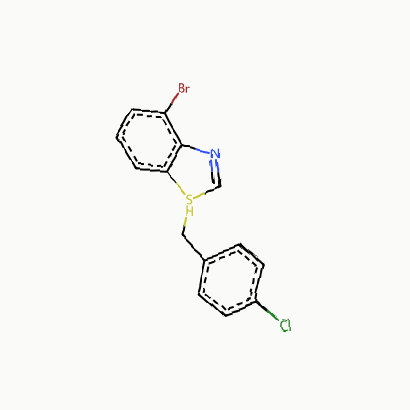 Clc1ccc(C[SH]2C=Nc3c(Br)cccc32)cc1